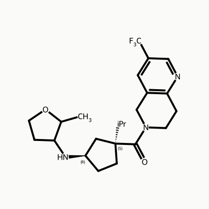 CC1OCCC1N[C@@H]1CC[C@@](C(=O)N2CCc3ncc(C(F)(F)F)cc3C2)(C(C)C)C1